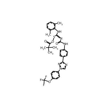 Cc1cccc(C)c1NC(=NC(=O)Nc1ccc(-c2ncn(-c3ccc(OC(F)(F)F)cc3)n2)cc1)SOC(=O)C(C)(C)C